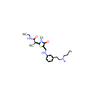 CCn1c(=C(C#N)C(=O)NCC#N)sc(=CNc2cccc(CCN(C)CCC(C)C)c2)c1=O